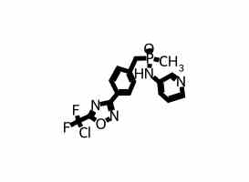 CP(=O)(Cc1ccc(-c2noc(C(F)(F)Cl)n2)cc1)Nc1cccnc1